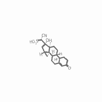 C[C@]12CC[C@H]3[C@@H](CCC4=CC(=O)CC[C@@H]43)[C@]13C[C@@H]3C[C@@]2(O)[C@@H](C#N)S(=O)(=O)O